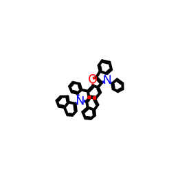 c1ccc(-n2c3ccccc3c3oc4c(-c5ccccc5N(c5cccc6ccccc56)c5cccc6ccccc56)cccc4c32)cc1